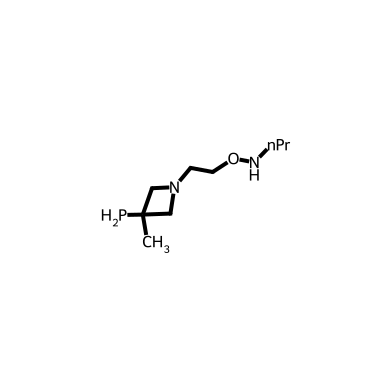 CCCNOCCN1CC(C)(P)C1